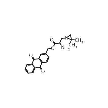 CC1(C)CN1CC(N)C(=O)OCc1ccc2c(c1)C(=O)c1ccccc1C2=O